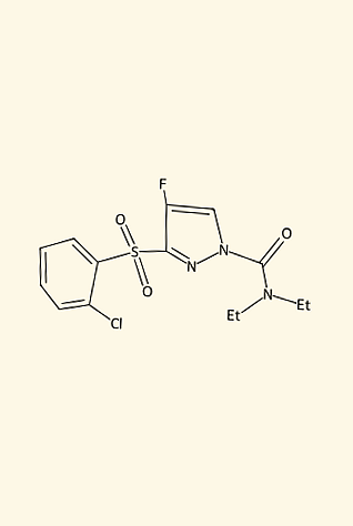 CCN(CC)C(=O)n1cc(F)c(S(=O)(=O)c2ccccc2Cl)n1